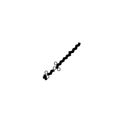 CCCCCCCCCCCCCCC(=O)C(=O)OCCCC(=O)OC(C)(C)C